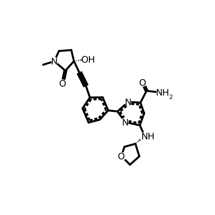 CN1CC[C@@](O)(C#Cc2cccc(-c3nc(N[C@@H]4CCOC4)cc(C(N)=O)n3)c2)C1=O